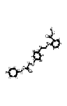 COC(=O)c1ccccc1SCCc1ccc(OCC(=O)OCc2ccccc2)cc1